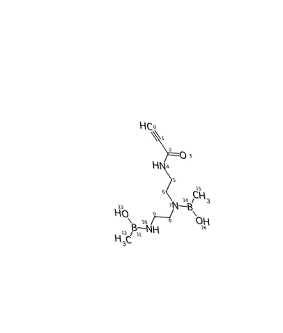 C#CC(=O)NCCN(CCNB(C)O)B(C)O